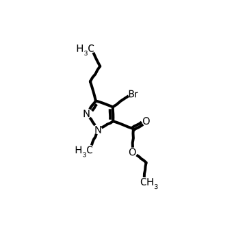 CCCc1nn(C)c(C(=O)OCC)c1Br